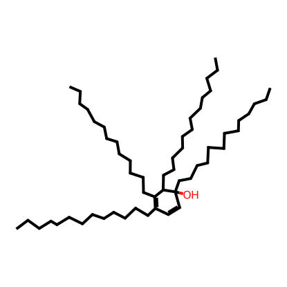 CCCCCCCCCCCCCC1=C(CCCCCCCCCCCCC)C(CCCCCCCCCCCCC)C(O)(CCCCCCCCCCCCC)C=C1